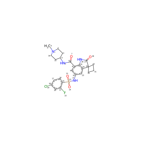 CN1CCC(NC(=O)c2cc(NS(=O)(=O)c3ccc(Cl)cc3F)cc3c2NC(=O)C32CCC2)CC1